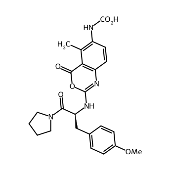 COc1ccc(C[C@H](Nc2nc3ccc(NC(=O)O)c(C)c3c(=O)o2)C(=O)N2CCCC2)cc1